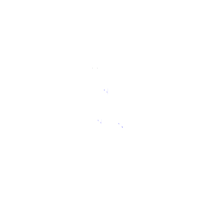 Cn1ccnc1[C@@H]1NC(C(=O)O)CS1